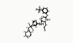 CCCC(NC(=O)Cc1cccc(C(F)(F)F)c1)C(=O)Nc1cn(C(C)(C)CN2CCOCC2)cn1